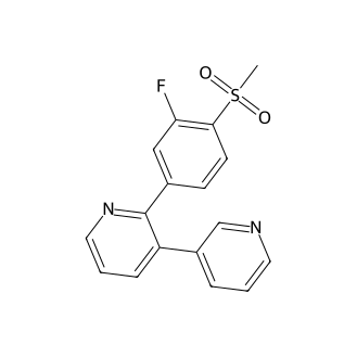 CS(=O)(=O)c1ccc(-c2ncccc2-c2cccnc2)cc1F